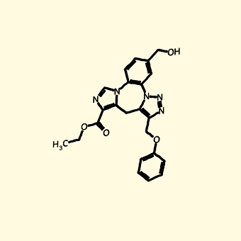 CCOC(=O)c1ncn2c1Cc1c(COc3ccccc3)nnn1-c1cc(CO)ccc1-2